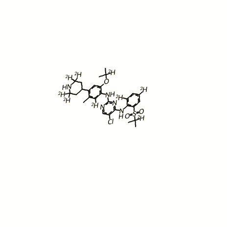 [2H]c1cc([2H])c(Nc2nc(Nc3c(OC([2H])(C)C)cc(C4CC([2H])([2H])NC([2H])([2H])C4)c(C)c3[2H])ncc2Cl)c(S(=O)(=O)C([2H])(C)C)c1